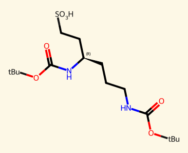 CC(C)(C)OC(=O)NCCC[C@H](CCS(=O)(=O)O)NC(=O)OC(C)(C)C